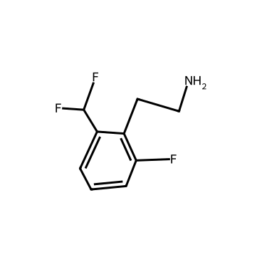 NCCc1c(F)cccc1C(F)F